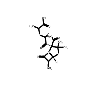 CC(SC(C)C(=O)[C@@]1(C(=O)O)N2C(=O)C(N)[C@H]2SC1(C)C)C(=O)O